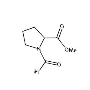 COC(=O)C1CCCN1C(=O)C(C)C